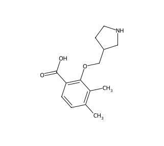 Cc1ccc(C(=O)O)c(OCC2CCNC2)c1C